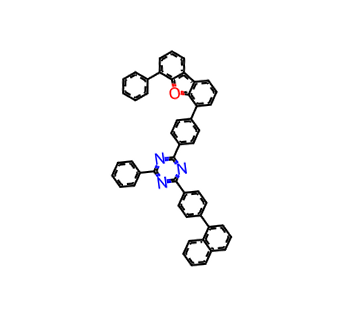 c1ccc(-c2nc(-c3ccc(-c4cccc5ccccc45)cc3)nc(-c3ccc(-c4cccc5c4oc4c(-c6ccccc6)cccc45)cc3)n2)cc1